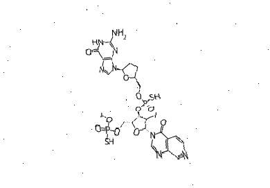 Nc1nc2c(ncn2[C@H]2CC[C@@H](COP(=O)(S)O[C@H]3C(I)[C@H](n4cnc5cnccc5c4=O)O[C@@H]3COP(=O)(S)OI)O2)c(=O)[nH]1